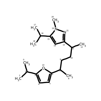 CC(C)c1ccc(C(C)CCC(C)c2cc(C(C)C)n(C)n2)o1